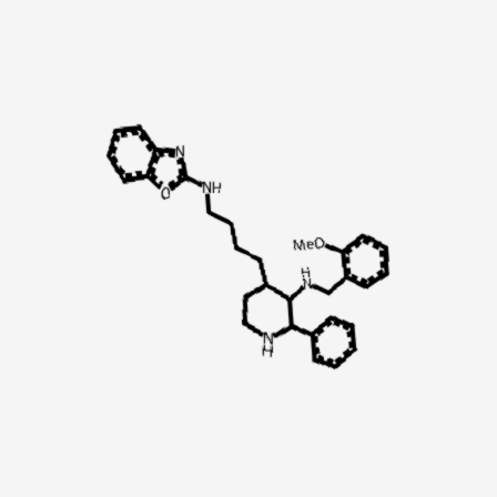 COc1ccccc1CNC1C(CCCCNc2nc3ccccc3o2)CCNC1c1ccccc1